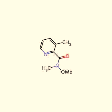 CON(C)C(=O)c1ncccc1C